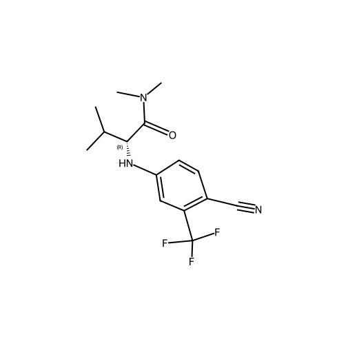 CC(C)[C@@H](Nc1ccc(C#N)c(C(F)(F)F)c1)C(=O)N(C)C